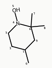 CC1CCN(O)C(C)(C)C1